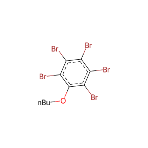 CCCCOc1c(Br)c(Br)c(Br)c(Br)c1Br